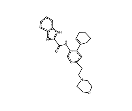 O=C(Nc1ccc(CCN2CCOCC2)cc1C1=CCCCC1)c1nc2ccccc2[nH]1